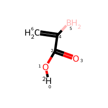 [2H]OC(=O)C(B)=C